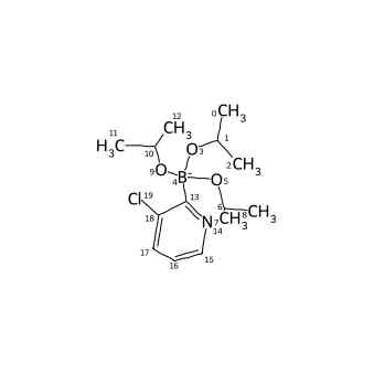 CC(C)O[B-](OC(C)C)(OC(C)C)c1ncccc1Cl